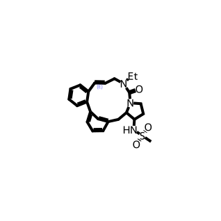 CCN1C/C=C/c2ccccc2-c2cccc(c2)CC2C(NS(C)(=O)=O)CCN2C1=O